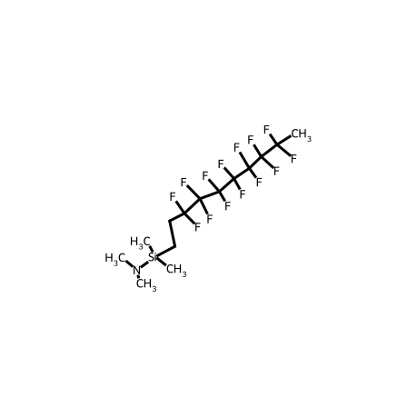 CN(C)[Si](C)(C)CCC(F)(F)C(F)(F)C(F)(F)C(F)(F)C(F)(F)C(F)(F)C(C)(F)F